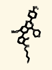 COc1cc2nc(-c3ccc(N)nc3)nc(N3CCOCC3)c2cc1-c1cccc(NSCCCF)c1F